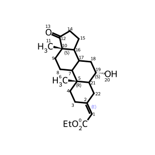 CCOC(=O)/C=C1\CC[C@]2(C)C3CC[C@]4(C)C(=O)CCC4C3C[C@H](O)C2C1